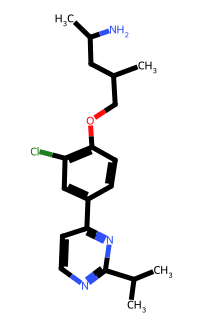 CC(N)CC(C)COc1ccc(-c2ccnc(C(C)C)n2)cc1Cl